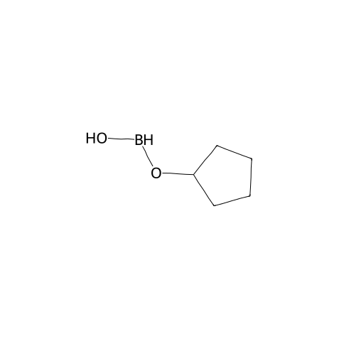 OBOC1CCCC1